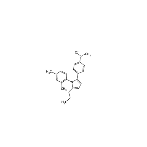 CCCc1ccc(-c2ccc([S+](C)[O-])cc2)n1-c1ccc(C)cc1C